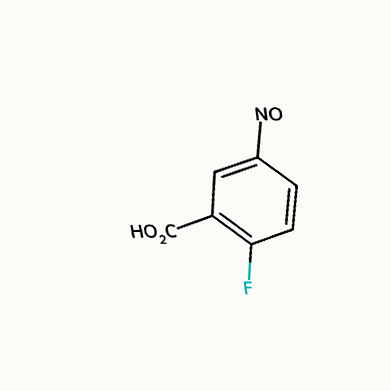 O=Nc1ccc(F)c(C(=O)O)c1